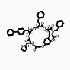 O=C(O)CN(Cc1ccccc1)C(=O)[C@@H]1Cc2ccc(cc2)OCC(=O)N[C@H](Cc2cccs2)C(=O)N[C@@H](Cc2ccc(-c3ccccc3)cc2)C(=O)N[C@H](CCc2ccccc2)C(=O)N1